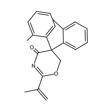 C=C(C)C1=NC(=O)C(c2ccccc2C)(c2ccccc2C)CO1